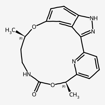 C[C@@H]1CCNC(=O)O[C@H](C)c2cccc(n2)-c2n[nH]c3ccc(cc23)O1